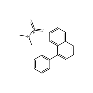 CN(C)[SH](=O)=O.c1ccc(-c2cccc3ccccc23)cc1